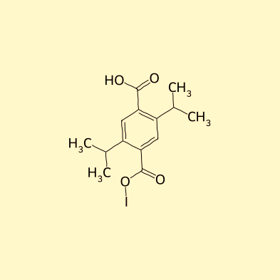 CC(C)c1cc(C(=O)OI)c(C(C)C)cc1C(=O)O